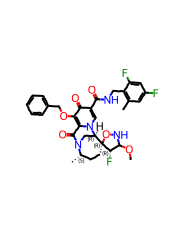 COC1NO[C@@]2(CC[C@H](C)N3C[C@H]2n2cc(C(=O)NCc4c(C)cc(F)cc4F)c(=O)c(OCc4ccccc4)c2C3=O)[C@H]1F